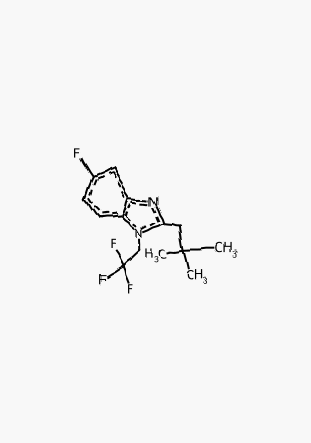 CC(C)(C)Cc1nc2cc(F)ccc2n1CC(F)(F)F